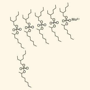 CCCCCCC(C)OP(=O)([O-])OCC(CC)CCCC.CCCCCCC(C)OP(=O)([O-])OCC(CC)CCCC.CCCCCCC(C)OP(=O)([O-])OCC(CC)CCCC.CCCCCCC(C)OP(=O)([O-])OCC(CC)CCCC.CCCCCCC(C)OP(=O)([O-])OCC(CC)CCCC.CCCCCCC(C)OP(=O)([O-])OCC(CC)CCCC.[Mo+6]